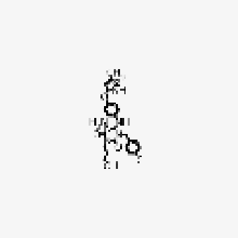 CC1=CC(Oc2ccc(NC3N(N)C(=O)N(CCCO)C(=O)N3Cc3ccc(Cl)cc3)cc2)NO1